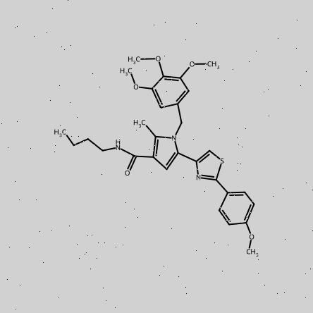 CCCCNC(=O)c1cc(-c2csc(-c3ccc(OC)cc3)n2)n(Cc2cc(OC)c(OC)c(OC)c2)c1C